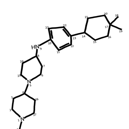 CN1CCC(N2CCC(Nc3ccc(C4CCC(C)(C)CC4)cc3)CC2)CC1